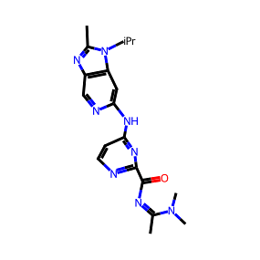 C/C(=N/C(=O)c1nccc(Nc2cc3c(cn2)nc(C)n3C(C)C)n1)N(C)C